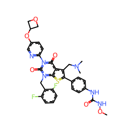 CONC(=O)Nc1ccc(-c2sc3c(c2CN(C)C)c(=O)n(-c2ccc(OC4COC4)cn2)c(=O)n3Cc2c(F)cccc2F)cc1